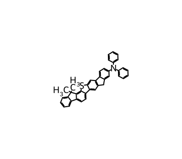 CC1(C)c2ccccc2-c2ccc3c(sc4cc5c(cc43)Cc3cc(N(c4ccccc4)c4ccccc4)ccc3-5)c21